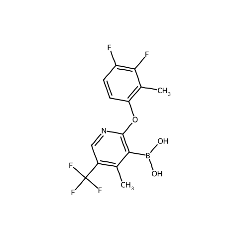 Cc1c(Oc2ncc(C(F)(F)F)c(C)c2B(O)O)ccc(F)c1F